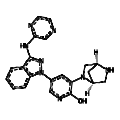 Oc1ncc(-n2nc(Nc3cnccn3)c3ccccc32)cc1N1C[C@@H]2C[C@H]1CN2